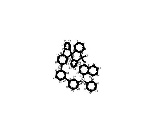 CC1(C)c2ccccc2C2(c3ccccc3-c3ccc(-c4cccc(-c5cccc(N(c6ccccc6)c6cccc7ccccc67)c5)c4)cc32)c2ccccc21